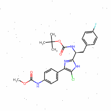 COC(=O)Nc1ccc(-c2nc([C@H](Cc3ccc(F)cc3)NC(=O)OC(C)(C)C)[nH]c2Cl)cc1